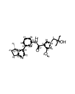 COc1nn(CC(C)(C)O)cc1C(=O)Nc1cccc(-c2cnc3n2[C@@H](C)CC3)n1